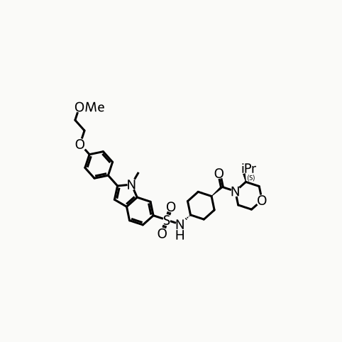 COCCOc1ccc(-c2cc3ccc(S(=O)(=O)N[C@H]4CC[C@H](C(=O)N5CCOC[C@@H]5C(C)C)CC4)cc3n2C)cc1